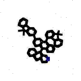 CC1(C)c2ccccc2-c2ccc(-c3ccc4c(-c5c6ccccc6cc6ccncc56)c5ccccc5c(-c5cccc6c5-c5ccccc5C6(C)C)c4c3)cc21